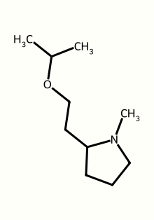 CC(C)OCCC1CCCN1C